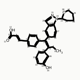 CC/C(=C(/c1ccc(C=CC(=O)O)cc1)c1ccc2c(cnn2C2CCCCO2)c1)c1cccc(O)c1